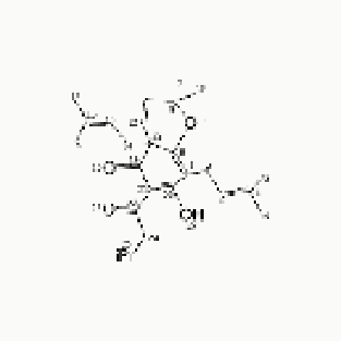 CC(C)=CCC1=C2OC(C)(C)C=CC2(CC=C(C)C)C(=O)C(C(=O)CC(C)C)=C1O